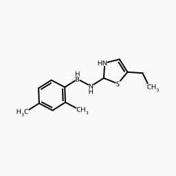 CCC1=CNC(NBc2ccc(C)cc2C)S1